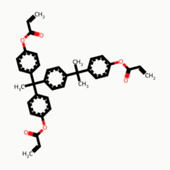 C=CC(=O)Oc1ccc(C(C)(C)c2ccc(C(C)(c3ccc(OC(=O)C=C)cc3)c3ccc(OC(=O)C=C)cc3)cc2)cc1